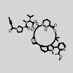 CC#CC(=O)N1CC[C@H](C(=O)N(C)[C@H](C(=O)N[C@H]2Cc3nc(cs3)-c3ccc4c(c3)c(c(-c3cccnc3[C@H](C)OC)n4C)CC(C)(C)COC(=O)[C@@H]3CCCN(N3)C2=O)C(C)C)C1